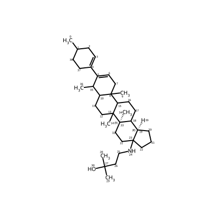 CC1CC=C(C2=CCC3(C)C(CCC4(C)C3CCC3[C@H]5CCCC5(NCCC(C)(C)O)CC[C@]34C)C2C)CC1